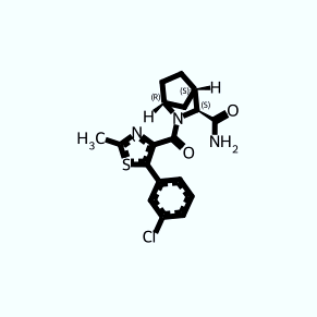 Cc1nc(C(=O)N2[C@@H]3CC[C@@H](C3)[C@H]2C(N)=O)c(-c2cccc(Cl)c2)s1